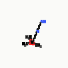 CCO[Si](CCCCCCN=CCCCC=N)(OCC)OCC